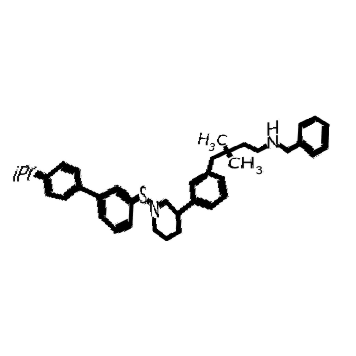 CC(C)c1ccc(-c2cccc(SN3CCCC(c4cccc(CC(C)(C)CCNCc5ccccc5)c4)C3)c2)cc1